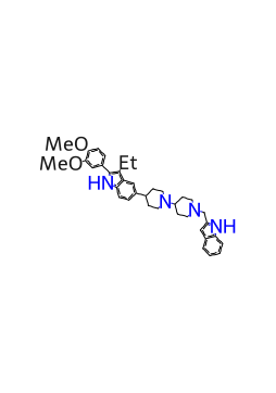 CCc1c(-c2ccc(OC)c(OC)c2)[nH]c2ccc(C3CCN(C4CCN(Cc5cc6ccccc6[nH]5)CC4)CC3)cc12